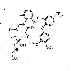 CCOCN(C(=O)CCl)c1c(C)cccc1CC.CCOc1cc(Oc2ccc(C(F)(F)F)cc2Cl)ccc1[N+](=O)[O-].O=C(O)CNCP(=O)(O)O